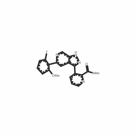 CNC(=O)c1ncccc1-c1n[nH]c2cnc(-c3c(F)cccc3OC)cc12